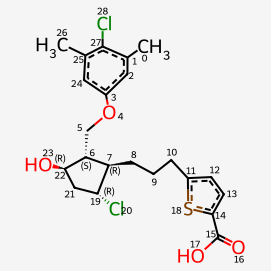 Cc1cc(OC[C@@H]2[C@@H](CCCc3ccc(C(=O)O)s3)[C@H](Cl)C[C@H]2O)cc(C)c1Cl